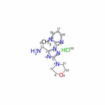 CC(N)c1nc(N2CCOCC2)nn1-c1ncccn1.Cl